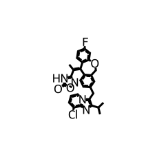 C/C(=C1/c2ccc(Cc3c(C(C)C)nc4c(Cl)cccn34)cc2COc2cc(F)ccc21)c1noc(=O)[nH]1